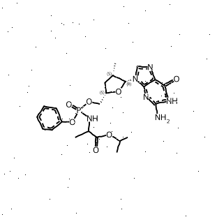 CC(C)OC(=O)C(C)NP(=O)(OC[C@@H]1C[C@H](C)[C@H](n2cnc3c(=O)[nH]c(N)nc32)O1)Oc1ccccc1